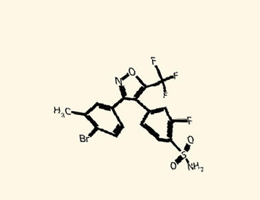 Cc1cc(-c2noc(C(F)(F)F)c2-c2ccc(S(N)(=O)=O)c(F)c2)ccc1Br